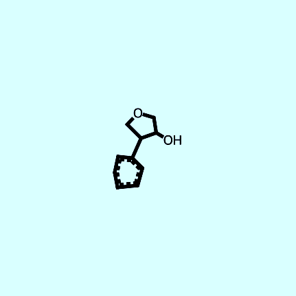 OC1COCC1c1ccccc1